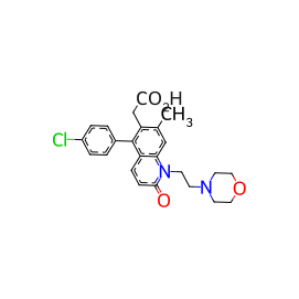 Cc1cc2c(ccc(=O)n2CCN2CCOCC2)c(-c2ccc(Cl)cc2)c1CC(=O)O